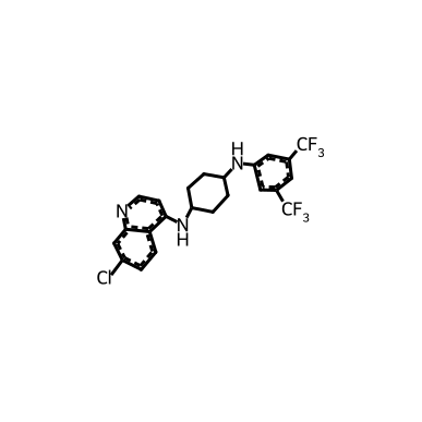 FC(F)(F)c1cc(NC2CCC(Nc3ccnc4cc(Cl)ccc34)CC2)cc(C(F)(F)F)c1